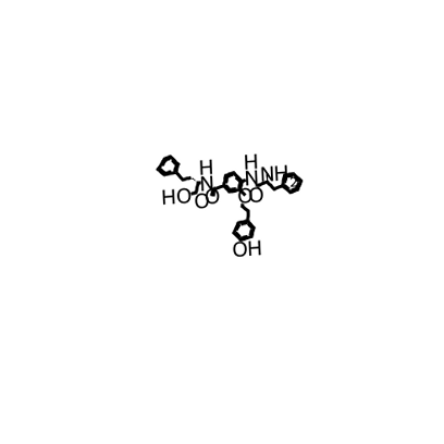 N[C@@H](Cc1ccccc1)C(=O)Nc1ccc(C(=O)N[C@@H](CCc2ccccc2)C(=O)O)cc1OCCc1ccc(O)cc1